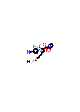 CSCCCCc1cc(C(=O)CN2C3CCC2[C@H](O)C3)c(C)n1-c1ccc(C#N)cc1